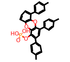 Cc1ccc(-c2cccc3c2Oc2c(-c4ccc(C)cc4)cc(-c4ccc(C)cc4)c(OP(=O)(O)O)c2O3)cc1